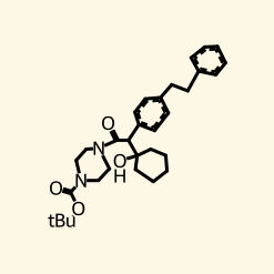 CC(C)(C)OC(=O)N1CCN(C(=O)C(c2ccc(CCc3ccccc3)cc2)C2(O)CCCCC2)CC1